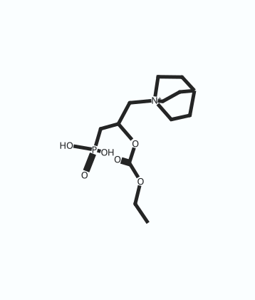 CCOC(=O)OC(C[N+]12CCC(CC1)CC2)CP(=O)(O)O